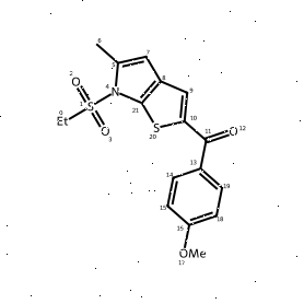 CCS(=O)(=O)n1c(C)cc2cc(C(=O)c3ccc(OC)cc3)sc21